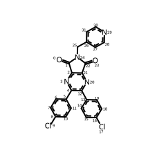 O=C1c2nc(-c3ccc(Cl)cc3)c(-c3ccc(Cl)cc3)nc2C(=O)N1Cc1ccncc1